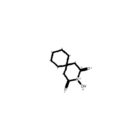 O=C1CC2(CCCCC2)CC(=O)N1O